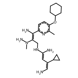 Cc1nc(/C(N)=C(\CN/C(N)=C/C(=C\N)C2CC2)N(C)N)ccc1OC1CCCCC1